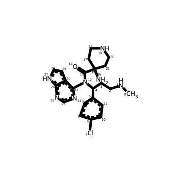 CNCCC(c1ccc(Cl)cc1)N(C(=O)C1(N)CCNCC1)c1ncnc2[nH]ccc12